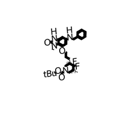 C[C@@H]1CN(C(=O)OC(C)(C)C)C[C@H](CCCOc2cc(NCc3ccccc3)cc3[nH]c(=O)n(C)c23)C1(F)F